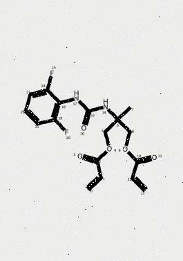 C=CC(=O)OCC(C)(COC(=O)C=C)NC(=O)Nc1c(F)cccc1F